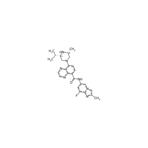 Cc1cn2cc(NC(=O)c3ccc(N4C[C@@H](C)N[C@@H](C(C)C)C4)c4nccnc34)cc(F)c2n1